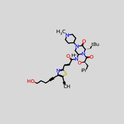 C#Cc1sc(/C=C/C(=O)N2O[C@H](CC(C)C)C(=O)N3[C@@H]2CN(C2CCN(C)CC2)C(=O)[C@@H]3CC(C)(C)C)nc1C#CCCCO